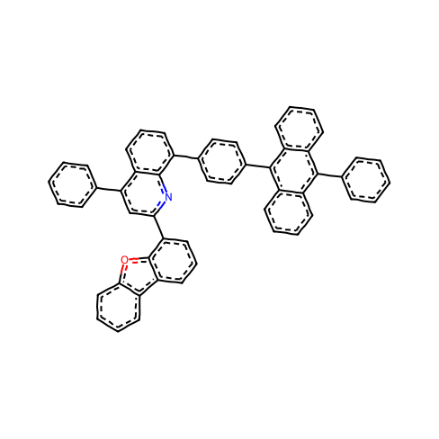 c1ccc(-c2c3ccccc3c(-c3ccc(-c4cccc5c(-c6ccccc6)cc(-c6cccc7c6oc6ccccc67)nc45)cc3)c3ccccc23)cc1